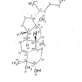 CC(C)CCCC(C)[C@H]1CC[C@H]2[C@@H]3CC=C4C(C)(C)[C@@H](O)CC[C@]4(C)[C@H]3CC[C@]12C